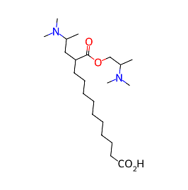 CC(COC(=O)C(CCCCCCCCCC(=O)O)CC(C)N(C)C)N(C)C